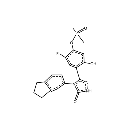 CC(C)c1cc(-c2n[nH]c(=O)n2-c2ccc3c(c2)CCC3)c(O)cc1OP(C)(C)=O